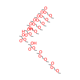 CCOC(=O)C(C)O.CCOC(=O)C(C)O.CCOC(=O)C(C)O.CCOCCOC(C)=O.CCOCCOC(C)=O.CCOCCOC(C)=O.CCOCCOC(C)=O.CCOCCOC(C)=O.CCOCCOC(C)=O.CCOCCOC(C)=O